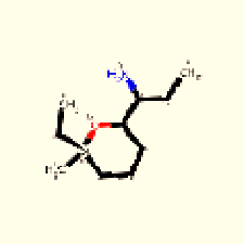 CCC(N)C1CCC[Si](C)(CC)O1